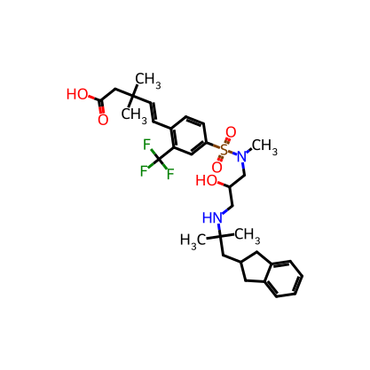 CN(CC(O)CNC(C)(C)CC1Cc2ccccc2C1)S(=O)(=O)c1ccc(C=CC(C)(C)CC(=O)O)c(C(F)(F)F)c1